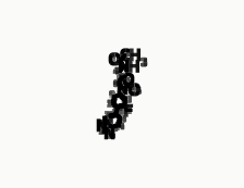 CC(=O)NC[C@H]1CN(c2ccc(-c3ccc4ncnn4c3)c(F)c2)C(=O)O1